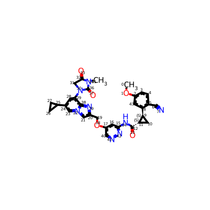 COc1ccc(C#N)c([C@H]2C[C@@H]2C(=O)Nc2cc(OCc3cn4cc(C5CC5)cc(N5CC(=O)N(C)C5=O)c4n3)cnn2)c1